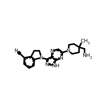 CC1(CN)CCN(c2cnc3c(N4CCc5c(C#N)cccc54)n[nH]c3n2)CC1